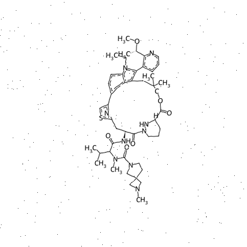 CCn1c(-c2cccnc2[C@H](C)OC)c2c3cc(ccc31)-c1csc(n1)C[C@H](NC(=O)C(C(C)C)N(C)C(=O)N1CCC3(CN(C)C3)C1)C(=O)N1CCC[C@H](N1)C(=O)OCC(C)(C)C2